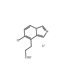 O=C([O-])CCc1c(Cl)ccn2cncc12.[Li+]